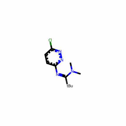 CN(C)/C(=N\c1ccc(Cl)nn1)C(C)(C)C